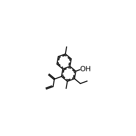 C=CC(=C)c1c(C)c(CC)c(O)c2cc(C)ccc12